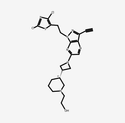 C#Cc1nn(CCc2sc(Cl)nc2Cl)c2nc(N3CC([C@H]4CCCN(CCO)C4)C3)cnc12